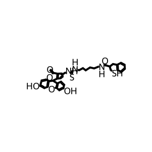 O=C1OC2(c3ccc(O)cc3Oc3cc(O)ccc32)c2ccc(NC(=S)NCCCCCCNC(=O)C(CS)Cc3ccccc3)cc21